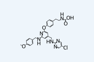 COc1ccc(CNc2cc(CNc3ncc(Cl)cn3)cc(Oc3ccc(CCNC(=O)O)cc3)n2)cc1